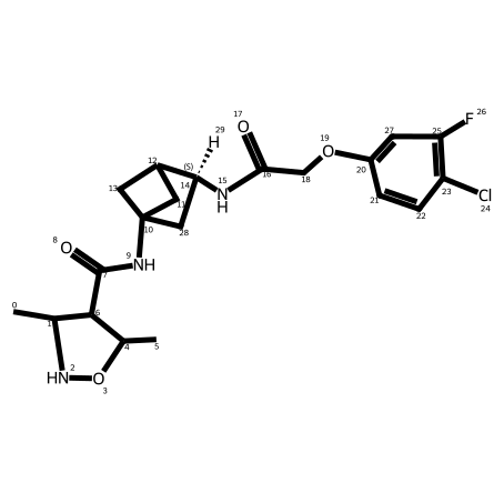 CC1NOC(C)C1C(=O)NC12CC(C1)[C@@H](NC(=O)COc1ccc(Cl)c(F)c1)C2